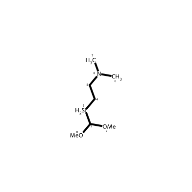 COC(OC)[SiH2]CCN(C)C